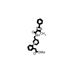 COC(=O)Cc1ccccc1N1CCCC(CNC(=O)c2sc(-c3ccccc3)nc2C)C1